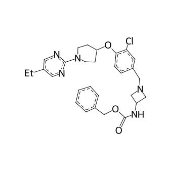 CCc1cnc(N2CCC(Oc3ccc(CN4CC(NC(=O)OCc5ccccc5)C4)cc3Cl)CC2)nc1